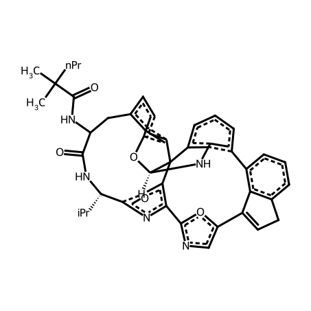 CCCC(C)(C)C(=O)NC1Cc2ccc3c(c2)C24c5cccc(c5N[C@H]2O3)-c2cccc3c2C(=CC3)c2cnc(o2)-c2nc(oc24)[C@H](C(C)C)NC1=O